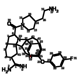 N=C(N)C1CCC2CC(C(=O)N3CCC(CCN)CC3)N(Cc3ccc(Oc4ccc(F)cc4)nc3)C2(C2CCCCCCC2)C1